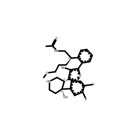 COCCC[C@@H](CNC(C)=O)c1ccccc1-c1onc([C@H]2CNCC[C@]2(O)c2ccc(F)c(F)c2)c1Br